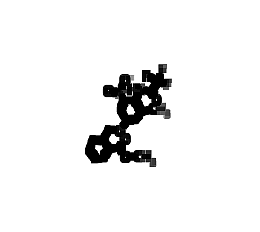 COC(=O)c1ccccc1COc1cc(C)c(NC(=O)C(F)(F)F)c([N+](=O)[O-])c1